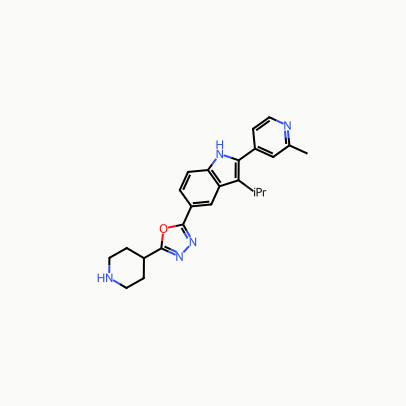 Cc1cc(-c2[nH]c3ccc(-c4nnc(C5CCNCC5)o4)cc3c2C(C)C)ccn1